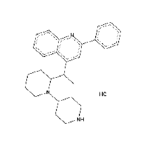 CC(c1cc(-c2ccccc2)nc2ccccc12)C1CCCCN1C1CCNCC1.Cl